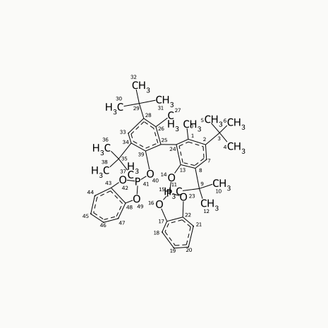 Cc1c(C(C)(C)C)cc(C(C)(C)C)c(OP2Oc3ccccc3O2)c1-c1c(C)c(C(C)(C)C)cc(C(C)(C)C)c1OP1Oc2ccccc2O1